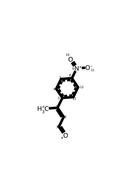 CC(=CC=O)c1ccc([N+](=O)[O-])cc1